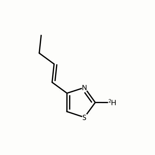 [2H]c1nc(C=CCC)cs1